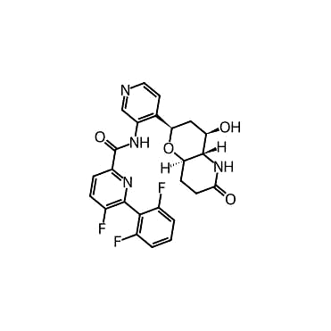 O=C1CC[C@H]2O[C@@H](c3ccncc3NC(=O)c3ccc(F)c(-c4c(F)cccc4F)n3)C[C@@H](O)[C@@H]2N1